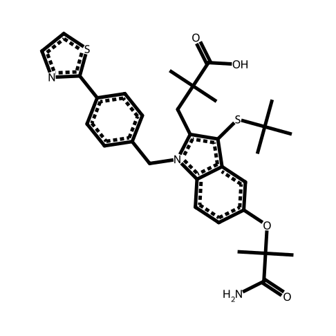 CC(C)(C)Sc1c(CC(C)(C)C(=O)O)n(Cc2ccc(-c3nccs3)cc2)c2ccc(OC(C)(C)C(N)=O)cc12